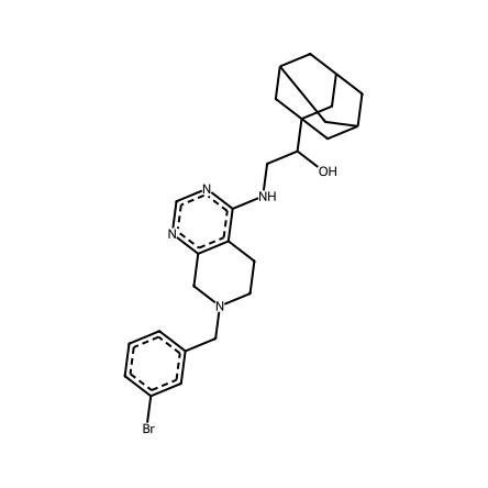 OC(CNc1ncnc2c1CCN(Cc1cccc(Br)c1)C2)C12CC3CC(CC(C3)C1)C2